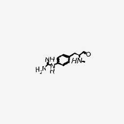 CN[C@H](C=O)Cc1ccc(NC(=N)N)cc1